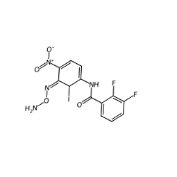 NO/N=C1/C([N+](=O)[O-])=CC=C(NC(=O)c2cccc(F)c2F)C1I